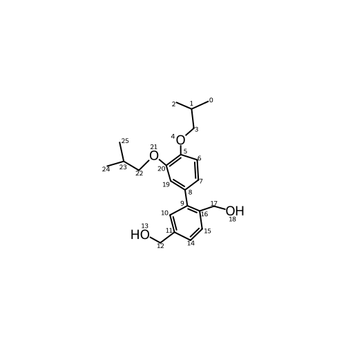 CC(C)COc1ccc(-c2cc(CO)ccc2CO)cc1OCC(C)C